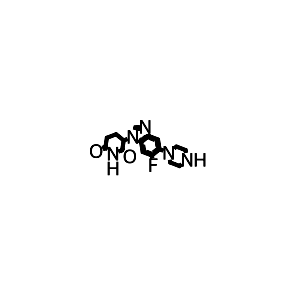 O=C1CCC(n2cnc3cc(N4CCNCC4)c(F)cc32)C(=O)N1